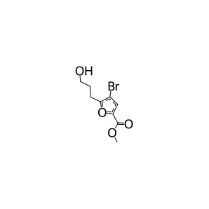 COC(=O)c1cc(Br)c(CCCO)o1